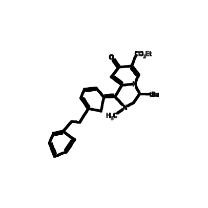 CCOC(=O)c1cn2c(cc1=O)/C(=C1\C=CC=C(CCc3ccccc3)C1)N(C)CC2C(C)(C)C